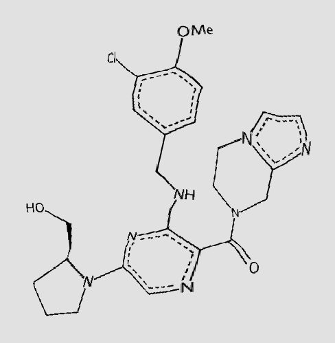 COc1ccc(CNc2nc(N3CCC[C@H]3CO)cnc2C(=O)N2CCn3ccnc3C2)cc1Cl